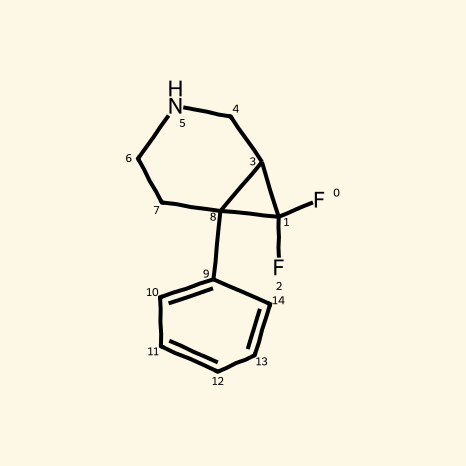 FC1(F)C2CNCCC21c1ccccc1